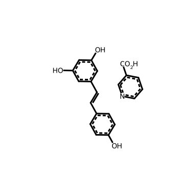 O=C(O)c1cccnc1.Oc1ccc(/C=C/c2cc(O)cc(O)c2)cc1